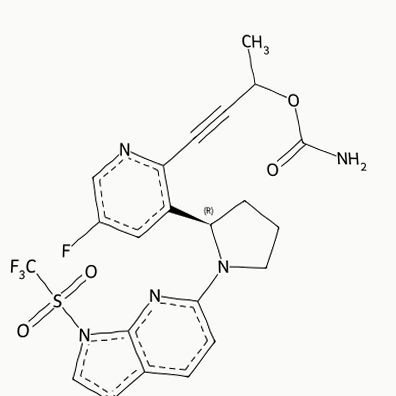 CC(C#Cc1ncc(F)cc1[C@H]1CCCN1c1ccc2ncn(S(=O)(=O)C(F)(F)F)c2n1)OC(N)=O